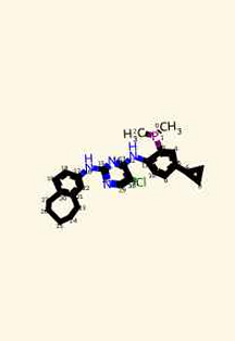 CP(C)c1cc(C2CC2)ccc1Nc1nc(Nc2ccc3c(c2)CCCCC3)ncc1Cl